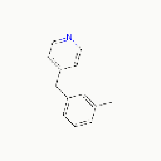 Cc1cccc(Cc2ccncc2)c1